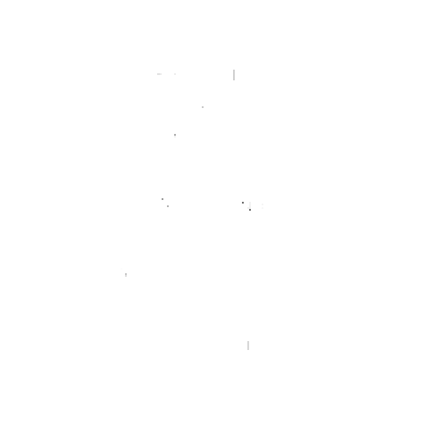 O=[N+]([O-])c1cc(C(F)(F)F)cc([N+](=O)[O-])c1NC1=NC(C(F)(F)F)(C(F)(F)F)/C(=C(\F)C(F)(F)F)S1